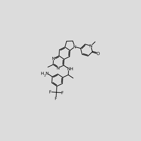 Cc1nc(NC(C)c2cc(N)cc(C(F)(F)F)c2)c2cc3c(cc2n1)CCN3c1ccc(=O)n(C)c1